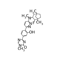 CN(c1ccc(-c2ccc(-c3ncn(C)c(=O)n3)cc2O)nn1)[C@H]1C[C@]2(C)CC[C@@](C)(C2)[C@H]1F